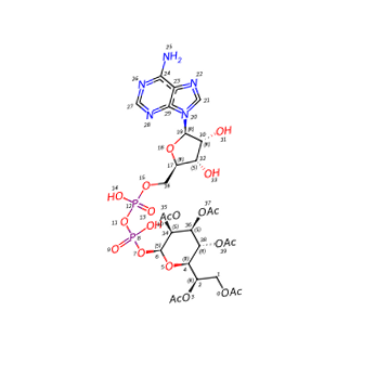 CC(=O)OC[C@@H](OC(C)=O)[C@H]1O[C@@H](OP(=O)(O)OP(=O)(O)OC[C@H]2O[C@@H](n3cnc4c(N)ncnc43)[C@H](O)[C@@H]2O)[C@@H](OC(C)=O)[C@@H](OC(C)=O)[C@@H]1OC(C)=O